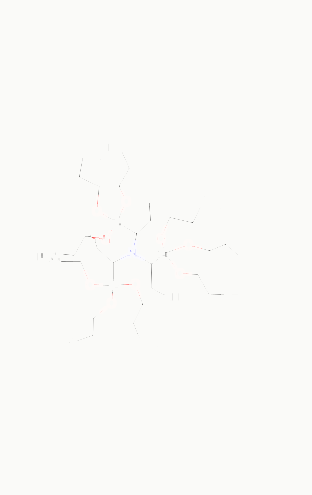 CCCO[Si](OCCC)(OCCC)C(CC)N(C(CC)[Si](OCCC)(OCCC)OCCC)C(CC)[Si](OCCC)(OCCC)OCCC